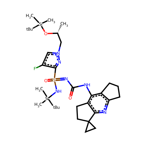 C[C@H](Cn1cc(F)c(S(=O)(=NC(=O)Nc2c3c(nc4c2CCC42CC2)CCC3)N[Si](C)(C)C(C)(C)C)n1)O[Si](C)(C)C(C)(C)C